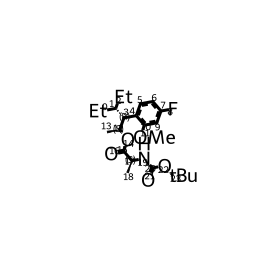 CCC(CC)[C@H](c1ccc(F)cc1OC)[C@H](C)OC(=O)[C@H](C)NC(=O)OC(C)(C)C